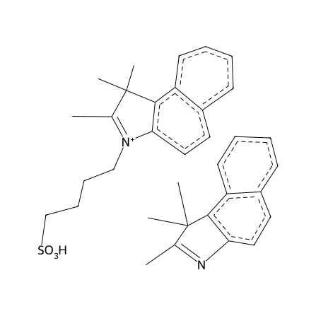 CC1=Nc2ccc3ccccc3c2C1(C)C.CC1=[N+](CCCCS(=O)(=O)O)c2ccc3ccccc3c2C1(C)C